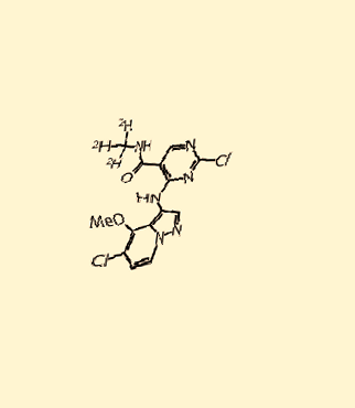 [2H]C([2H])([2H])NC(=O)c1cnc(Cl)nc1Nc1cnn2ccc(Cl)c(OC)c12